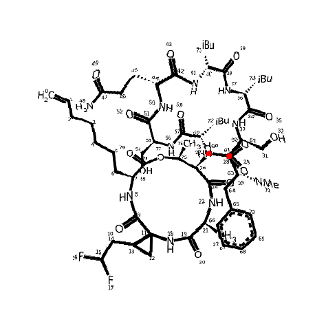 C=CCCCCC[C@@H]1NC(=O)C2(CC2CC(F)F)NC(=O)[C@H](C)NC(=O)[C@H](NC(=O)[C@H](CO)NC(=O)[C@@H](NC(=O)[C@H](NC(=O)[C@@H](CCC(N)=O)NC(=O)[C@H](CO)NC(=O)[C@@H](NC(=O)[C@@H](Cc2ccccc2)NC)[C@@H](C)CC)[C@@H](C)CC)[C@@H](C)CC)[C@H](C)OC1=O